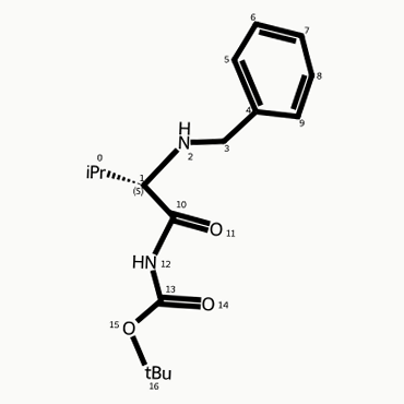 CC(C)[C@H](NCc1ccccc1)C(=O)NC(=O)OC(C)(C)C